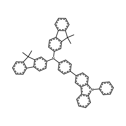 CC1(C)c2ccccc2-c2ccc(N(c3ccc(-c4ccc5c(c4)c4ccccc4n5-c4ccccc4)cc3)c3ccc4c(c3)C(C)(C)c3ccccc3-4)cc21